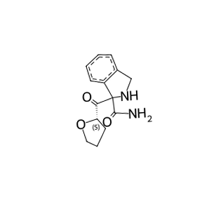 NC(=O)C1(C(=O)[C@@H]2CCCO2)NCc2ccccc21